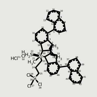 CC1=Cc2c(-c3cccc4ccccc34)cccc2[CH]1[Zr]([CH3])(=[SiH2])([CH2]CC[Si](Cl)(Cl)Cl)[CH]1C(C)=Cc2c(-c3cccc4ccccc34)cccc21.Cl.Cl